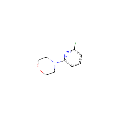 Fc1cccc(N2CCOCC2)n1